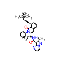 Cc1nn2cccnc2c1C(=O)N[C@@H](C)c1cc2cccc(C#CC[Si](C)(C)C)c2c(=O)n1-c1ccccc1